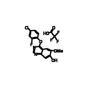 COc1cc2c(Oc3ccc(Cl)cc3F)ncnc2cc1O.O=C(O)C(F)(F)F